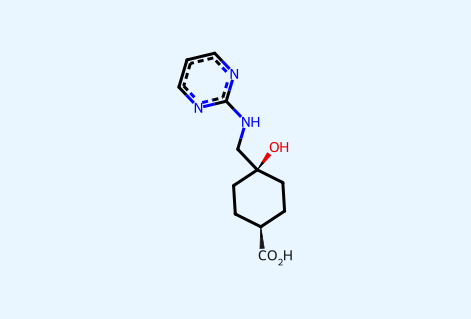 O=C(O)[C@H]1CC[C@](O)(CNc2ncccn2)CC1